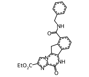 CCOC(=O)c1cn2c3c([nH]c(=O)c2n1)-c1cccc(C(=O)NCc2ccccc2)c1C3